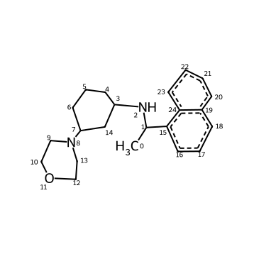 CC(NC1CCCC(N2CCOCC2)C1)c1cccc2ccccc12